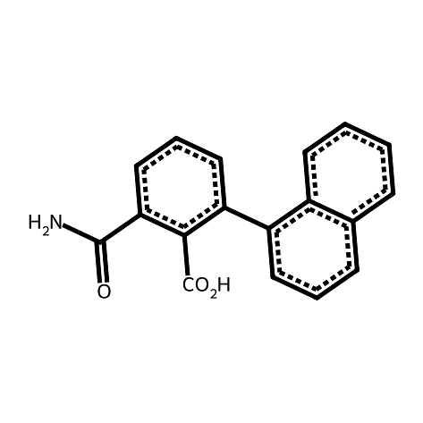 NC(=O)c1cccc(-c2cccc3ccccc23)c1C(=O)O